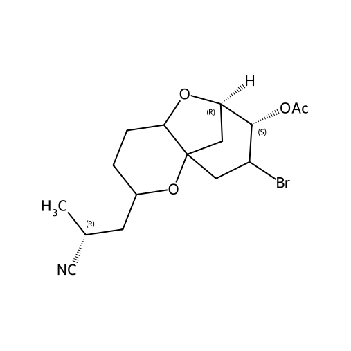 CC(=O)O[C@@H]1C(Br)CC23C[C@H]1OC2CCC(C[C@@H](C)C#N)O3